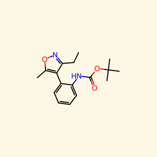 CCc1noc(C)c1-c1ccccc1NC(=O)OC(C)(C)C